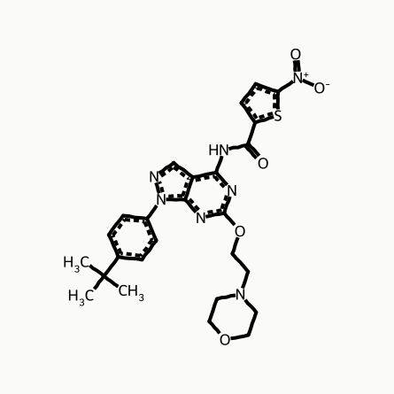 CC(C)(C)c1ccc(-n2ncc3c(NC(=O)c4ccc([N+](=O)[O-])s4)nc(OCCN4CCOCC4)nc32)cc1